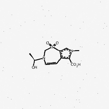 C[C@H](O)N1C=Cc2c(cn(C)c2C(=O)O)S(=O)(=O)C1